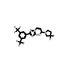 OC(/C=C\n1cnc(-c2cc(C(F)(F)F)cc(C(F)(F)F)c2)n1)N1CCC(F)(F)C1